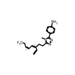 C=C/C(=C\C=C/CC(F)(F)F)CCc1nnc(-c2ccc(N)cc2)n1C